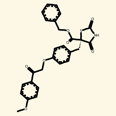 COc1ccc(C(=O)COc2ccc(C[C@]3(C(=O)OCc4ccccc4)SC(=O)NC3=O)cc2)cc1